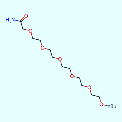 CCCCOCCOCCOCCOCCOCCOCC(N)=O